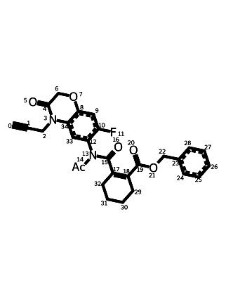 C#CCN1C(=O)COc2cc(F)c(N(C(C)=O)C(=O)C3=C(C(=O)OCc4ccccc4)CCCC3)cc21